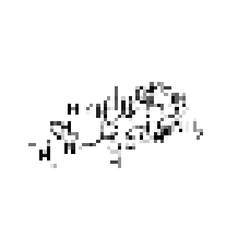 CC(C)CN(C)C/C=C/c1cc(N(C)C)c2c(c1O)C(=O)C1=C(O)[C@]3(O)C(=O)C(C(N)=O)=C(O)C(N(C)C)[C@@H]3C[C@@H]1C2